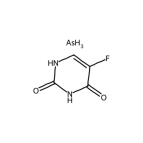 O=c1[nH]cc(F)c(=O)[nH]1.[AsH3]